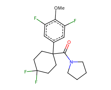 COc1c(F)cc(C2(C(=O)N3CCCC3)CCC(F)(F)CC2)cc1F